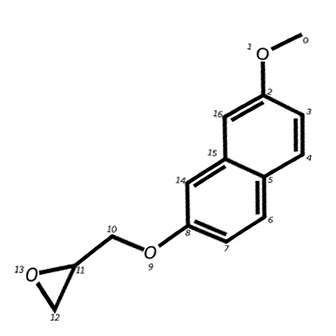 COc1ccc2ccc(OCC3CO3)cc2c1